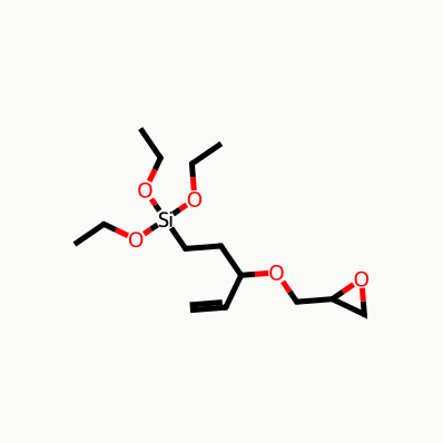 C=CC(CC[Si](OCC)(OCC)OCC)OCC1CO1